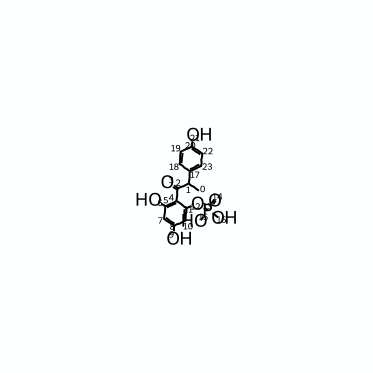 CC(C(=O)c1c(O)cc(O)cc1OP(=O)(O)O)c1ccc(O)cc1